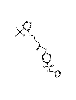 O=C(CCCOc1ccccc1C(F)(F)F)Nc1ccc(S(=O)(=O)Nc2nccs2)cc1